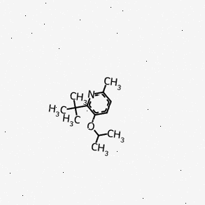 Cc1ccc(OC(C)C)c(C(C)(C)C)n1